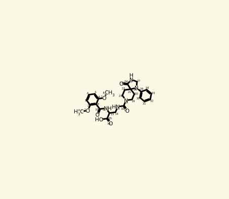 COc1cccc(OC)c1C(=O)NC(CNC(=O)N1CCC2(CC1)C(=O)NCN2c1ccccc1)C(=O)O